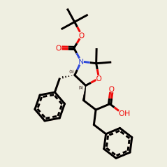 CC(C)(C)OC(=O)N1[C@@H](Cc2ccccc2)[C@H](CC(Cc2ccccc2)C(=O)O)OC1(C)C